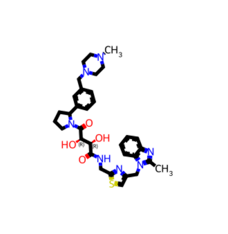 Cc1nc2ccccc2n1Cc1csc(CNC(=O)[C@H](O)[C@@H](O)C(=O)N2CCCC2c2cccc(CN3CCN(C)CC3)c2)n1